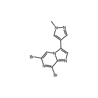 Cn1cc(-c2cnc3c(Br)nc(Br)cn23)cn1